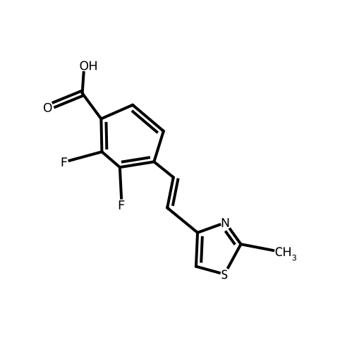 Cc1nc(C=Cc2ccc(C(=O)O)c(F)c2F)cs1